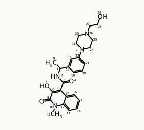 CC(NC(=O)c1c(O)c(=O)n(C)c2ccccc12)c1cccc(N2CCN(CCO)CC2)c1